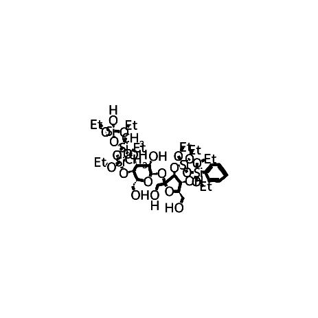 CCO[Si](C)(O[C@H]1[C@H](O)[C@@H](O)[C@@H](OC2(CO)O[C@H](CO)[C@@H](O)[C@@H]2O[Si](OCC)(OCC)O[Si](OCC)(OCC)c2ccccc2)O[C@@H]1CO)O[Si](C)(OCC)O[Si](O)(OCC)OCC